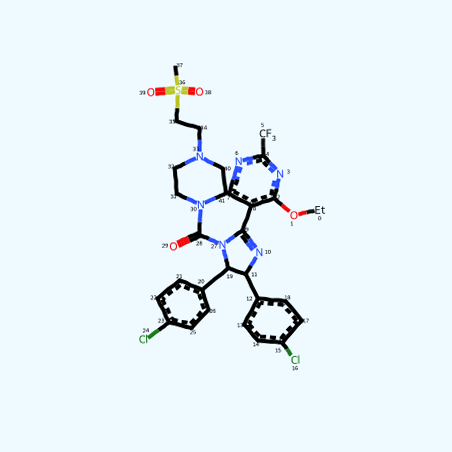 CCOc1nc(C(F)(F)F)ncc1C1=NC(c2ccc(Cl)cc2)C(c2ccc(Cl)cc2)N1C(=O)N1CCN(CCS(C)(=O)=O)CC1